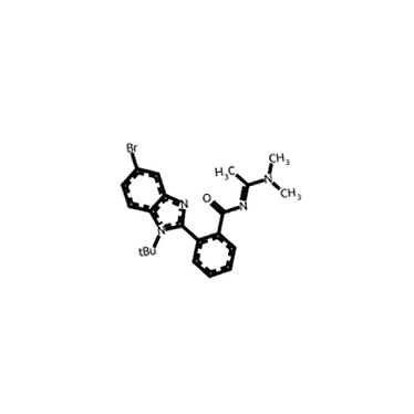 C/C(=N\C(=O)c1ccccc1-c1nc2cc(Br)ccc2n1C(C)(C)C)N(C)C